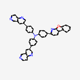 c1ccc2c(c1)oc1nc(-c3ccc(N(c4ccc(-c5cnc6ccncc6c5)cc4)c4ccc(-c5cnc6ccncc6c5)cc4)cc3)ccc12